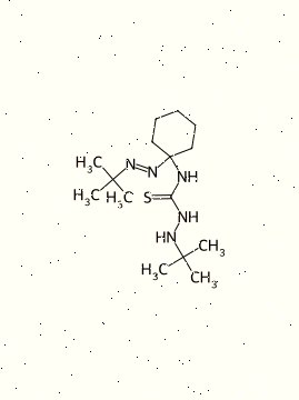 CC(C)(C)N=NC1(NC(=S)NNC(C)(C)C)CCCCC1